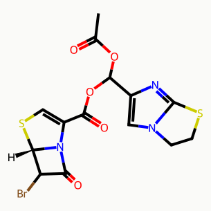 CC(=O)OC(OC(=O)C1=CS[C@H]2C(Br)C(=O)N12)c1cn2c(n1)SCC2